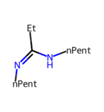 CCCCCN=C(CC)NCCCCC